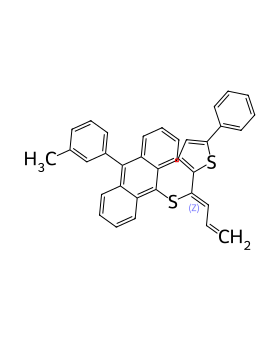 C=C/C=C(\Sc1c2ccccc2c(-c2cccc(C)c2)c2ccccc12)c1ccc(-c2ccccc2)s1